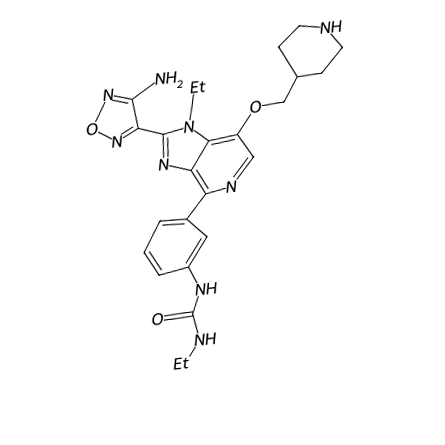 CCNC(=O)Nc1cccc(-c2ncc(OCC3CCNCC3)c3c2nc(-c2nonc2N)n3CC)c1